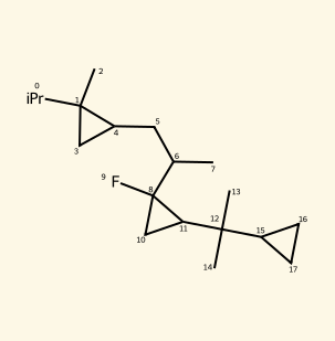 CC(C)C1(C)CC1CC(C)C1(F)CC1C(C)(C)C1CC1